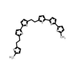 Cc1ccc(CCc2ccc(-c3ccc(CCc4ccc(-c5ccc(-c6ccc(C)s6)s5)s4)s3)s2)s1